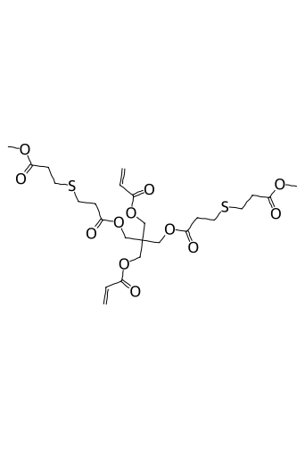 C=CC(=O)OCC(COC(=O)C=C)(COC(=O)CCSCCC(=O)OC)COC(=O)CCSCCC(=O)OC